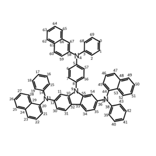 c1ccc(N(c2ccc(-n3c4cc(N(c5ccccc5)c5cccc6ccccc56)ccc4c4ccc(N(c5ccccc5)c5cccc6ccccc56)cc43)cc2)c2ccc3ccccc3c2)cc1